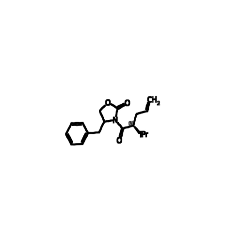 C=CC[C@H](C(=O)N1C(=O)OCC1Cc1ccccc1)C(C)C